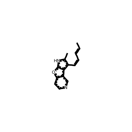 CC=C/C=C\c1c(C)[nH]c2oc3ccncc3c12